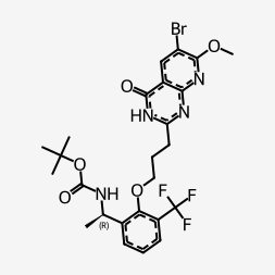 COc1nc2nc(CCCOc3c([C@@H](C)NC(=O)OC(C)(C)C)cccc3C(F)(F)F)[nH]c(=O)c2cc1Br